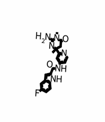 CN1C(=O)CC(C)(c2cc(NC(=O)c3cc4cc(F)ccc4[nH]3)ccn2)N=C1N